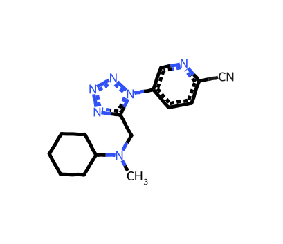 CN(Cc1nnnn1-c1ccc(C#N)nc1)C1CCCCC1